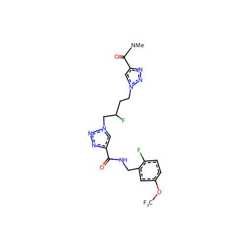 CNC(=O)c1cn(CCC(F)Cn2cc(C(=O)NCc3cc(OC(F)(F)F)ccc3F)nn2)nn1